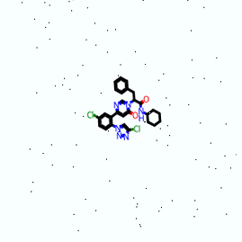 O=C(NC1CCCCC1)C(Cc1ccccc1)n1cnc(-c2cc(Cl)ccc2-n2cc(Cl)nn2)cc1=O